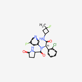 CC1(F)CC(NC(=O)[C@@H](c2ccccc2Cl)N(C(=O)C2CCC(=O)N2)c2cncc(F)c2)C1